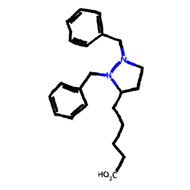 O=C(O)CCCCC1CCN(Cc2ccccc2)N1Cc1ccccc1